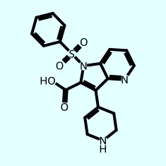 O=C(O)c1c(C2=CCNCC2)c2ncccc2n1S(=O)(=O)c1ccccc1